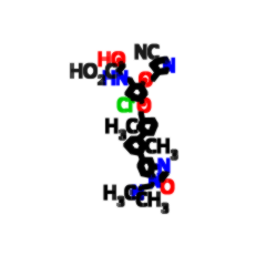 Cc1c(COc2cc(OCc3cncc(C#N)c3)c(CNC(CO)C(=O)O)cc2Cl)cccc1-c1cccc(-c2ccc3c(c2)ncc(=O)n3CCN(C)C)c1C